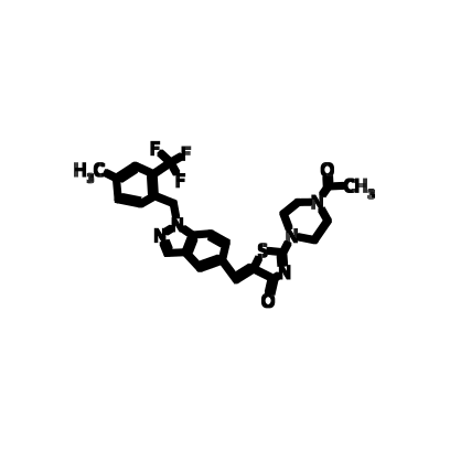 CC(=O)N1CCN(C2=NC(=O)/C(=C/c3ccc4c(cnn4Cc4ccc(C)cc4C(F)(F)F)c3)S2)CC1